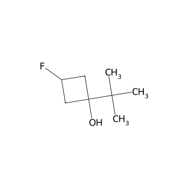 CC(C)(C)C1(O)CC(F)C1